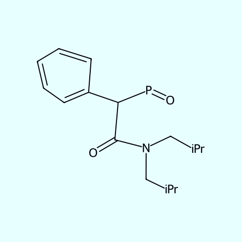 CC(C)CN(CC(C)C)C(=O)C(P=O)c1ccccc1